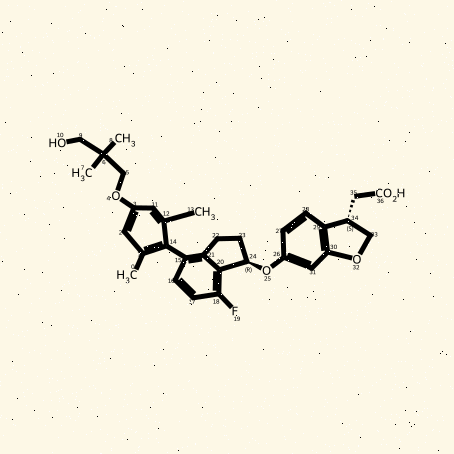 Cc1cc(OCC(C)(C)CO)cc(C)c1-c1ccc(F)c2c1CC[C@H]2Oc1ccc2c(c1)OC[C@H]2CC(=O)O